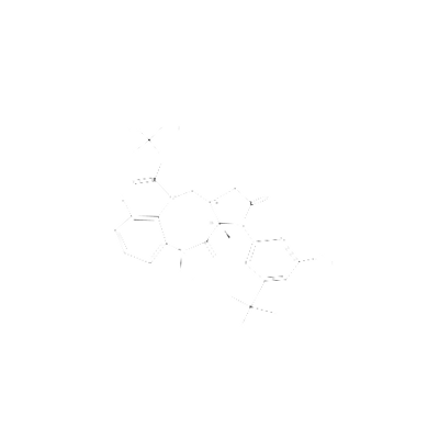 Cc1cc(C(F)(F)F)cc(N2C(=O)C[C@@H]3CN(C(=O)OC(C)(C)C)c4c(Cl)cccc4N(C)C(=O)[C@H]32)n1